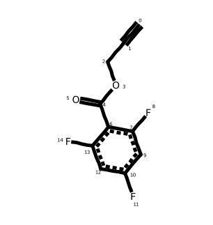 C#CCOC(=O)c1c(F)cc(F)cc1F